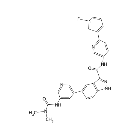 CN(C)C(=O)Nc1cncc(-c2ccc3[nH]nc(C(=O)Nc4ccc(-c5cccc(F)c5)nc4)c3c2)c1